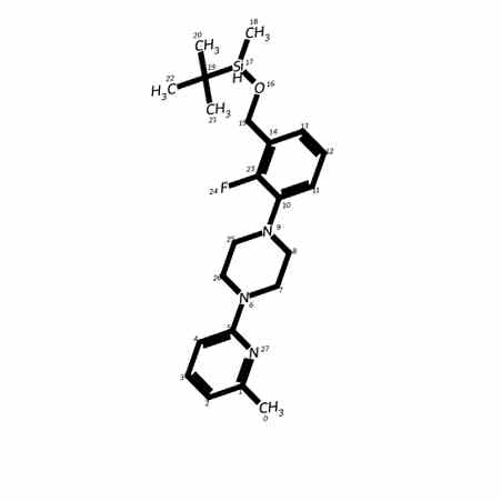 Cc1cccc(N2CCN(c3cccc(CO[SiH](C)C(C)(C)C)c3F)CC2)n1